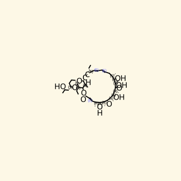 CC[C@@H]1/C=C/C=C/C[C@H](C)[C@@H](O)[C@](C)(O)C(=O)[C@H](C)[C@@H](O)[C@H](C)C(=O)[C@H](C)[C@@H](O)[C@H](C)/C=C/C(=O)OC2[C@@H](C)C(CC1)O[C@@]1(CCC[C@@H](CC(C)O)O1)[C@@H]2CC